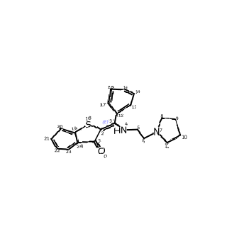 O=C1/C(=C(\NCCN2CCCC2)c2ccccc2)Sc2ccccc21